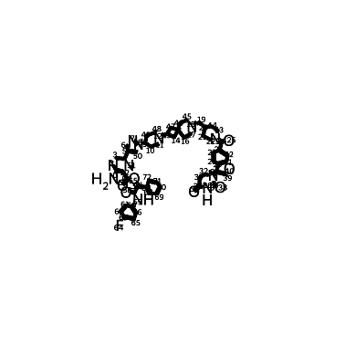 Nc1ncc(-c2cnn(C3CCN(C4CC5(CCN(CC6CCN(C(=O)c7ccc8c(N9CCC(=O)NC9=O)coc8c7)CC6)CC5)C4)CC3)c2)nc1C(=O)O[C@@H](C(=O)Nc1ccc(F)cc1)c1ccccc1